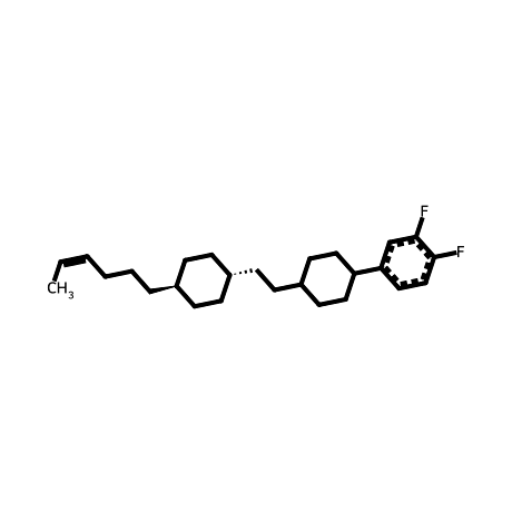 C/C=C\CCC[C@H]1CC[C@H](CCC2CCC(c3ccc(F)c(F)c3)CC2)CC1